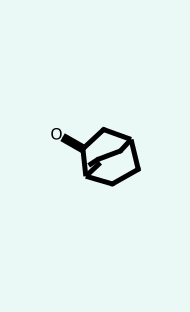 O=C1CC2CC=C1CC2